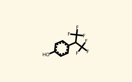 Oc1ccc(C(C(F)(F)F)C(F)(F)F)cc1